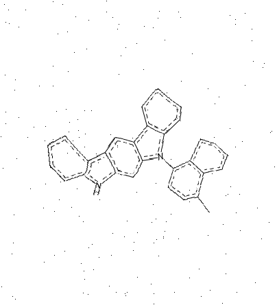 Cc1ccc(-n2c3ccccc3c3cc4c(cc32)[nH]c2ccccc24)c2ccccc12